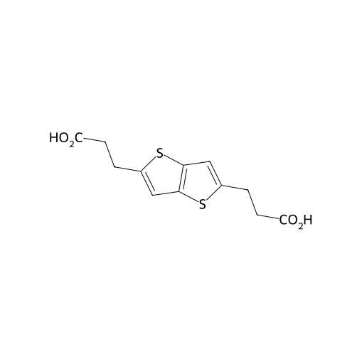 O=C(O)CCc1cc2sc(CCC(=O)O)cc2s1